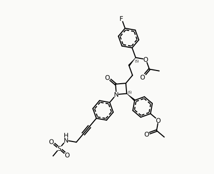 CC(=O)Oc1ccc([C@@H]2C(CC[C@H](OC(C)=O)c3ccc(F)cc3)C(=O)N2c2ccc(C#CCNS(C)(=O)=O)cc2)cc1